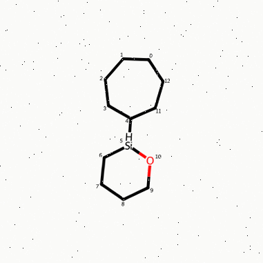 C1CCCC([SiH]2CCCCO2)CC1